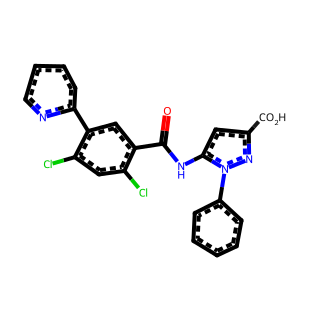 O=C(O)c1cc(NC(=O)c2cc(-c3ccccn3)c(Cl)cc2Cl)n(-c2ccccc2)n1